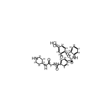 Cl.O=C(CNC(=O)c1ccc(S(=O)(=O)Nc2ccccc2Oc2ccc(Cl)cc2Cl)cc1)NC1CCNCC1